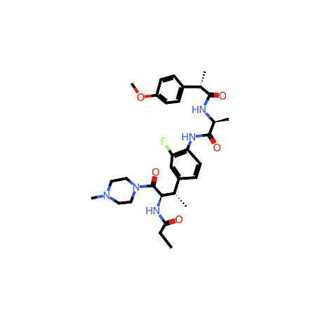 CCC(=O)N[C@@H](C(=O)N1CCN(C)CC1)[C@@H](C)c1ccc(NC(=O)[C@H](C)NC(=O)[C@@H](C)c2ccc(OC)cc2)c(F)c1